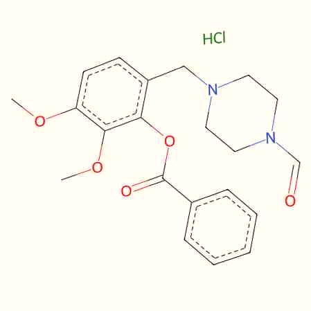 COc1ccc(CN2CCN(C=O)CC2)c(OC(=O)c2ccccc2)c1OC.Cl